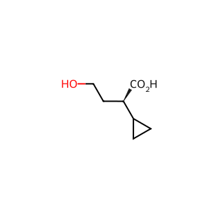 O=C(O)[C@H](CCO)C1CC1